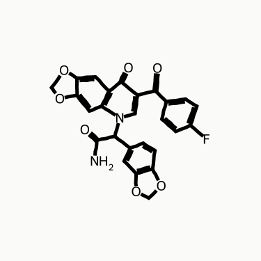 NC(=O)C(c1ccc2c(c1)OCO2)n1cc(C(=O)c2ccc(F)cc2)c(=O)c2cc3c(cc21)OCO3